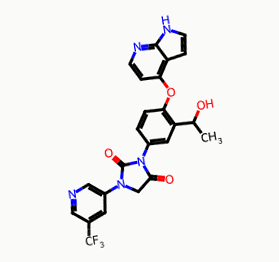 CC(O)c1cc(N2C(=O)CN(c3cncc(C(F)(F)F)c3)C2=O)ccc1Oc1ccnc2[nH]ccc12